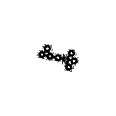 C1=CCC(c2c(-c3ccccc3)nc(C3=CCC(c4ccc5c(c4)c4c(c6ccccc65)C=CCC4)C=C3)nc2-c2ccccc2)C=C1